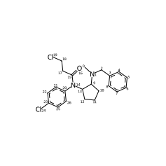 CN(Cc1ccccc1)C1CCCC1N(C(=O)CCCl)c1ccc(Cl)cc1